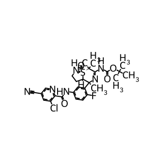 CC(C)(C)OC(=O)NC1=N[C@](C)(c2cc(NC(=O)c3ncc(C#N)cc3Cl)ccc2F)[C@@H]2CCN=[S@]2(=O)C1(C)C